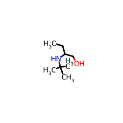 CCC(CO)NC(C)(C)C